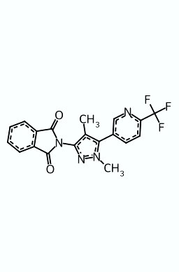 Cc1c(N2C(=O)c3ccccc3C2=O)nn(C)c1-c1ccc(C(F)(F)F)nc1